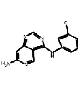 Nc1cc2ncnc(Nc3cccc(Cl)c3)c2cn1